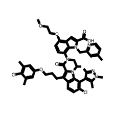 COCCOc1ccc(N2CC(C)n3c(c(CCCOc4cc(C)c(Cl)c(C)c4)c4ccc(Cl)c(-c5c(C)nn(C)c5C)c43)C2=O)c2c1cc(C(=O)O)n2Cc1cc(C)ccn1